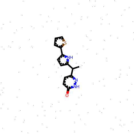 CC(c1ccc(=O)[nH]n1)c1ccc(-c2cccs2)[nH]1